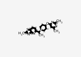 Cc1cc(OC2CCN(C(C)c3ccc4sc(C)nc4n3)CC2)nc(C)n1